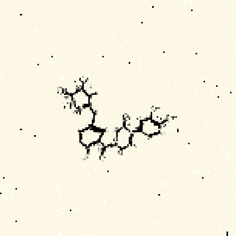 Cc1c(Cc2ccc(F)c(C(=O)N3CCN(c4ccc(F)c(F)c4)C(=O)C3)c2)n[nH]c(=O)c1C(F)(F)F